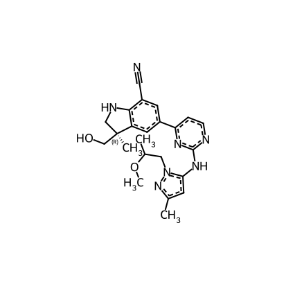 COC(C)Cn1nc(C)cc1Nc1nccc(-c2cc(C#N)c3c(c2)[C@@](C)(CO)CN3)n1